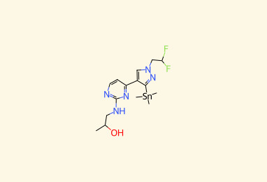 CC(O)CNc1nccc(-c2cn(CC(F)F)n[c]2[Sn]([CH3])([CH3])[CH3])n1